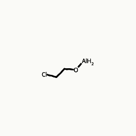 [AlH2][O]CCCl